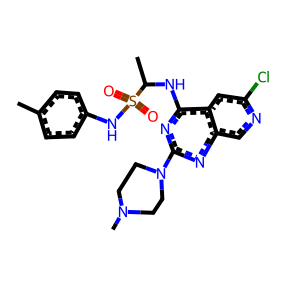 Cc1ccc(NS(=O)(=O)C(C)Nc2nc(N3CCN(C)CC3)nc3cnc(Cl)cc23)cc1